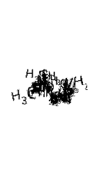 Cc1ccc(-n2nc(C(C)(C)C)cc2NC(=O)NCc2ccccc2Oc2ccnc(N3CCCC(C(N)=O)C3)n2)cc1